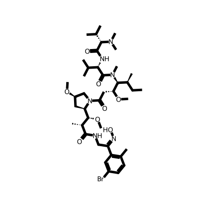 CC[C@H](C)[C@@H]([C@@H](CC(=O)N1C[C@H](OC)C[C@@H]1[C@H](OC)[C@@H](C)C(=O)NCC(=NO)c1cc(Br)ccc1C)OC)N(C)C(=O)[C@@H](NC(=O)[C@H](C(C)C)N(C)C)C(C)C